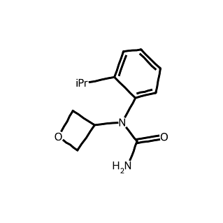 CC(C)c1ccccc1N(C(N)=O)C1COC1